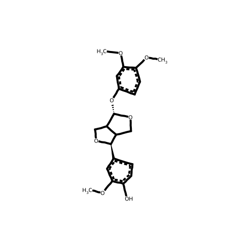 COc1cc([C@H]2OCC3C2CO[C@H]3Oc2ccc(OC)c(OC)c2)ccc1O